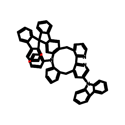 c1ccc(N2c3ccccc3Cc3cc(-n4c5ccccc5c5ccccc54)cnc3-c3ncccc3Cc3cc4c(cc32)C2(c3ccccc3-c3ccccc32)c2ccccc2-4)cc1